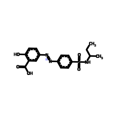 CCC(C)NS(=O)(=O)c1ccc(/N=N/c2ccc(O)c(C(=O)O)c2)cc1